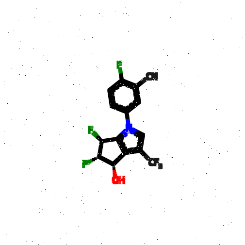 N#Cc1cc(-n2cc(C(F)(F)F)c3c2[C@H](F)[C@@H](F)[C@H]3O)ccc1F